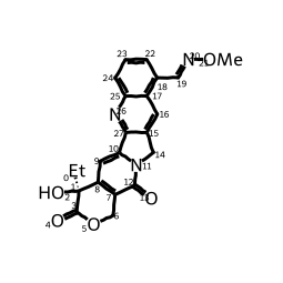 CC[C@@]1(O)C(=O)OCc2c1cc1n(c2=O)Cc2cc3c(C=NOC)cccc3nc2-1